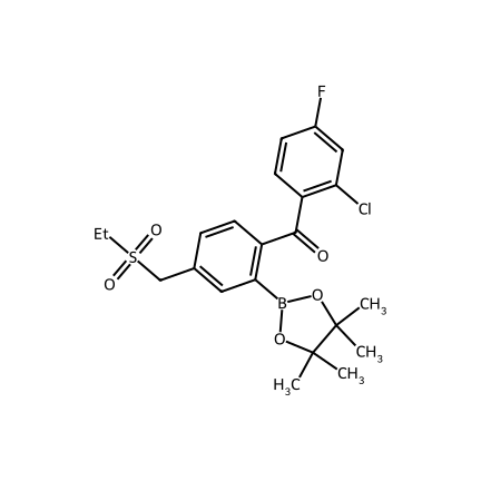 CCS(=O)(=O)Cc1ccc(C(=O)c2ccc(F)cc2Cl)c(B2OC(C)(C)C(C)(C)O2)c1